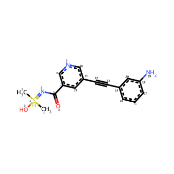 C[SH](C)(O)=NC(=O)c1cncc(C#Cc2cccc(N)c2)c1